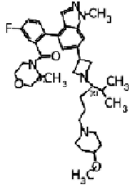 COC1CCN(CCC[C@H](C(C)C)N2CC(c3cc(-c4ccc(F)cc4C(=O)N4CCOC[C@H]4C)c4cnn(C)c4c3)C2)CC1